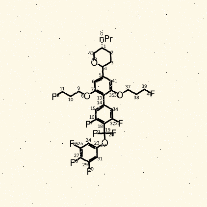 CCC[C@@H]1CCC(c2cc(OCCCF)c(-c3cc(F)c(C(F)(F)Oc4cc(F)c(F)c(F)c4)c(F)c3)c(OCCCF)c2)OC1